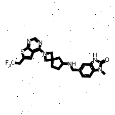 Cn1c(=O)[nH]c2cc(CNC3CCC4(C3)CN(c3ncnc5sc(CC(F)(F)F)cc35)C4)ccc21